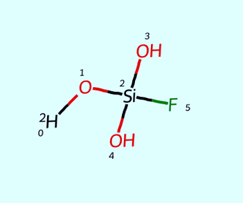 [2H]O[Si](O)(O)F